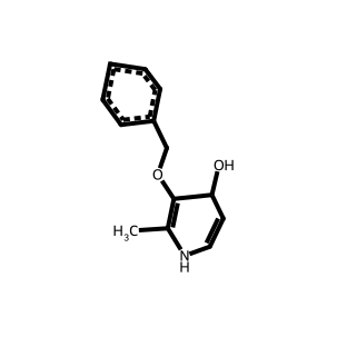 CC1=C(OCc2ccccc2)C(O)C=CN1